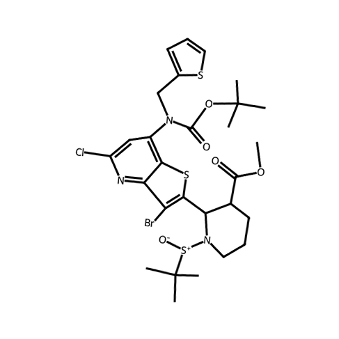 COC(=O)C1CCCN([S+]([O-])C(C)(C)C)C1c1sc2c(N(Cc3cccs3)C(=O)OC(C)(C)C)cc(Cl)nc2c1Br